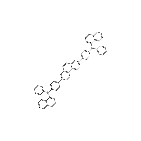 c1ccc(N(c2ccc(-c3ccc4c(ccc5cc(-c6ccc(N(c7ccccc7)c7cccc8ccccc78)cc6)ccc54)c3)cc2)c2cccc3ccccc23)cc1